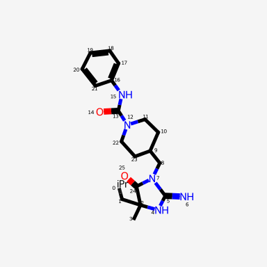 CC(C)CC1(C)NC(=N)N(CC2CCN(C(=O)Nc3ccccc3)CC2)C1=O